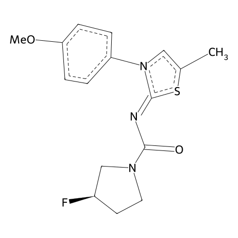 COc1ccc(-n2cc(C)sc2=NC(=O)N2CC[C@@H](F)C2)cc1